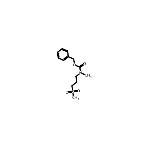 CN(CCCS(C)(=O)=O)C(=O)OCc1ccccc1